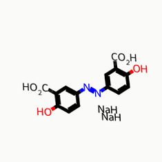 O=C(O)c1cc(N=Nc2ccc(O)c(C(=O)O)c2)ccc1O.[NaH].[NaH]